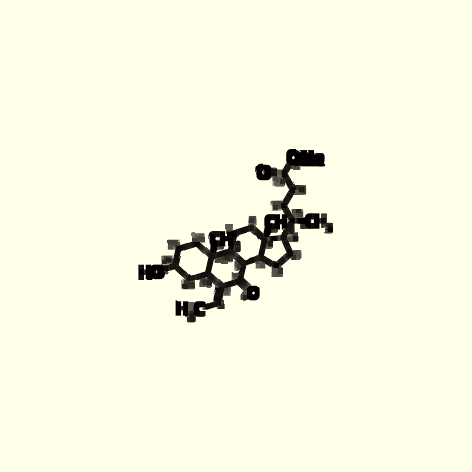 C/C=C1/C(=O)C2C(CC[C@@]3(C)C2CCC3[C@H](C)CCC(=O)OC)[C@@]2(C)CCC(O)CC12